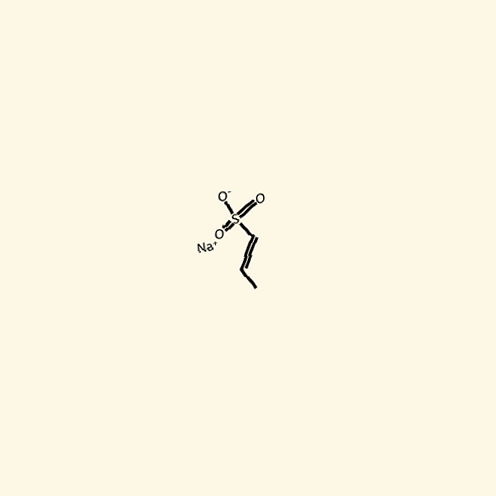 CC=CS(=O)(=O)[O-].[Na+]